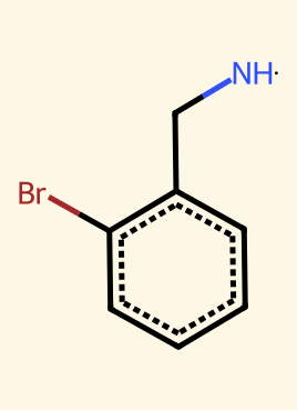 [NH]Cc1ccccc1Br